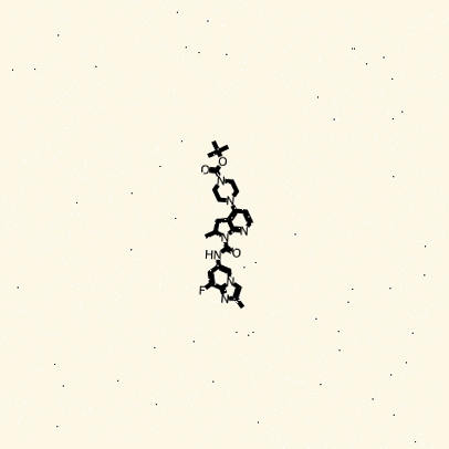 Cc1cn2cc(NC(=O)N3c4nccc(N5CCN(C(=O)OC(C)(C)C)CC5)c4CC3C)cc(F)c2n1